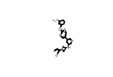 C=CC(=O)N1CC(Nc2cncc(-c3cnc(Oc4cccc(C(F)(F)F)c4)nc3)c2)C1